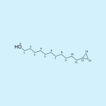 OCCCCCCCCCCCC1CC1